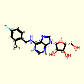 OC[C@H]1O[C@@H](n2cnc3c(NCc4ccc(F)cc4C(F)(F)F)ncnc32)[C@H](O)[C@@H]1O